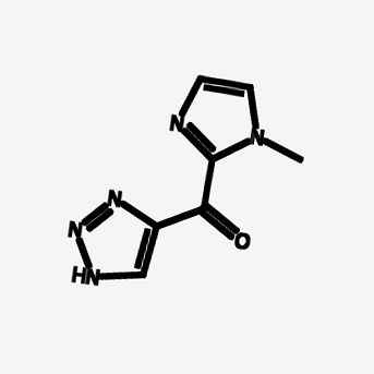 Cn1ccnc1C(=O)c1c[nH]nn1